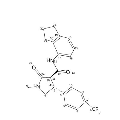 CN1C[C@@H](c2ccc(C(F)(F)F)cc2)[C@H](C(=O)Nc2cccc3c2CCC3)C1=O